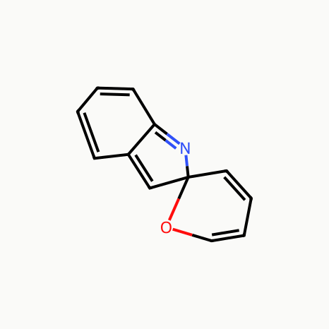 C1=COC2(C=C1)C=c1ccccc1=N2